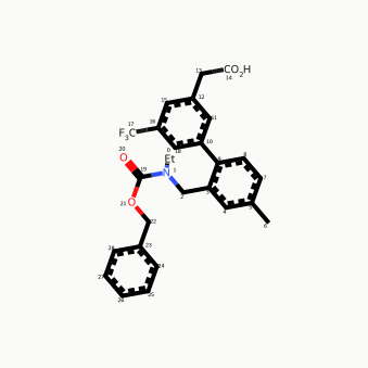 CCN(Cc1cc(C)ccc1-c1cc(CC(=O)O)cc(C(F)(F)F)c1)C(=O)OCc1ccccc1